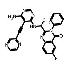 C[C@H](Nc1ncnc(N)c1C#Cc1cnccn1)c1nc2ccc(F)cc2c(=O)n1-c1ccccc1